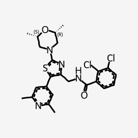 Cc1cc(-c2sc(N3C[C@@H](C)O[C@@H](C)C3)nc2CNC(=O)c2cccc(Cl)c2Cl)cc(C)n1